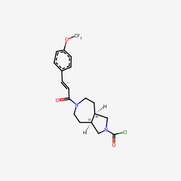 O=C(Cl)N1C[C@H]2CCN(C(=O)/C=C/c3ccc(OC(F)(F)F)cc3)CC[C@H]2C1